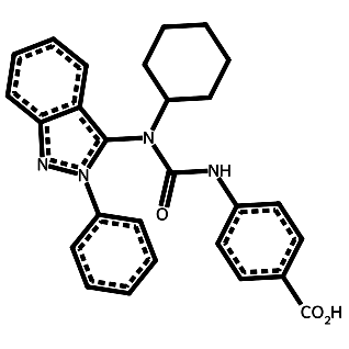 O=C(O)c1ccc(NC(=O)N(c2c3ccccc3nn2-c2ccccc2)C2CCCCC2)cc1